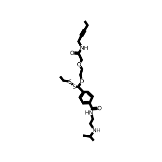 CCC#CCNC(=O)COCCOC(SSCC)c1ccc(C(=O)NCCNC(C)C)cc1